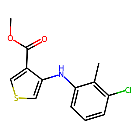 COC(=O)c1cscc1Nc1cccc(Cl)c1C